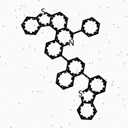 c1ccc(-c2nc3c(-c4ccc(-c5cccc6c5sc5ccccc56)c5ccccc45)cccc3c3c2ccc2sc4ccccc4c23)cc1